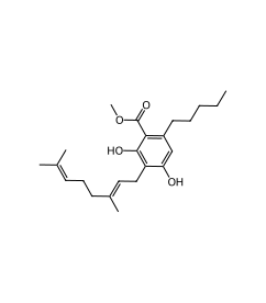 CCCCCc1cc(O)c(C/C=C(\C)CCC=C(C)C)c(O)c1C(=O)OC